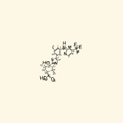 Cc1cc(Nc2nccc(C(F)(F)F)n2)cc(-c2cnc(C3(O)CC(C)[C@@H](C(=O)O)CC3C)s2)c1